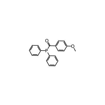 COc1ccc(C(=O)P(c2ccccc2)c2ccccc2)cc1